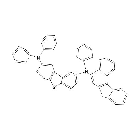 c1ccc(N(c2ccccc2)c2ccc3sc4ccc(N(c5ccccc5)c5cc6c(c7ccccc57)-c5ccccc5C6)cc4c3c2)cc1